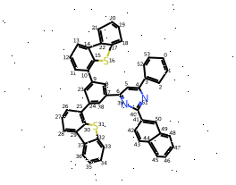 c1ccc(-c2cc(-c3cc(-c4cccc5c4sc4ccccc45)cc(-c4cccc5c4sc4ccccc45)c3)nc(-c3ccc4ccccc4c3)n2)cc1